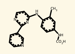 Cc1cc(NC(=O)O)ccc1Nc1ccnc(-c2cccnc2)n1